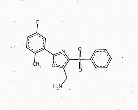 Cc1ccc(F)cc1-c1nc(S(=O)(=O)c2ccccc2)c(CN)o1